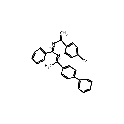 C=C(/N=C(\N=C(/C)c1ccc(-c2ccccc2)cc1)c1ccccc1)c1ccc(Br)cc1